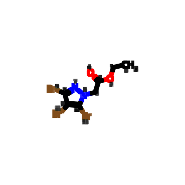 CCOC(=O)Cn1nc(Br)c(Br)c1Br